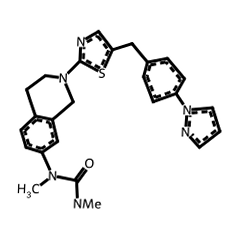 CNC(=O)N(C)c1ccc2c(c1)CN(c1ncc(Cc3ccc(-n4cccn4)cc3)s1)CC2